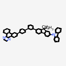 CC1(C)c2cc(-c3cccc(-c4ccc(-c5ccc6c(c5)c5ccccc5c5nccnc65)cc4)c3)ccc2-c2ccc(-n3c4ccccc4c4ccccc43)cc21